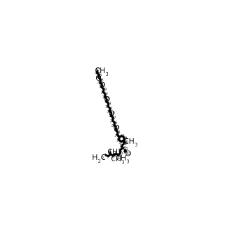 C=CCC(C)/C(C)=C/C(C)CCC(CCC1(C)CCC(CCCOCCCCCOCCCCCOCCCCCOCCOCCC)CC1)SC=O